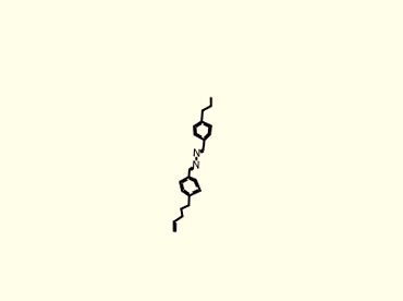 C=CCCCc1ccc(/C=N/N=C/c2ccc(CCC)cc2)cc1